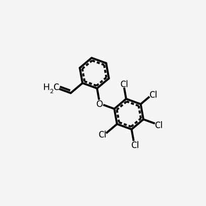 C=Cc1ccccc1Oc1c(Cl)c(Cl)c(Cl)c(Cl)c1Cl